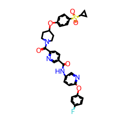 O=C(Nc1ccc(Oc2ccc(F)cc2)nc1)c1ccc(C(=O)N2CCC(Oc3ccc(S(=O)(=O)C4CC4)cc3)CC2)nc1